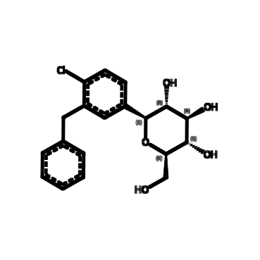 OC[C@H]1O[C@@H](c2ccc(Cl)c(Cc3ccccc3)c2)[C@H](O)[C@@H](O)[C@@H]1O